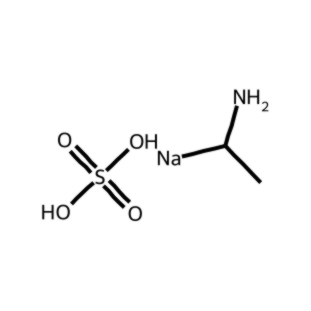 C[CH](N)[Na].O=S(=O)(O)O